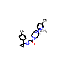 C[C@H]1CC2CN(C(=O)CNC3(c4ccc(C#N)cc4)CC3)CC1N2c1ccc(C#N)cn1